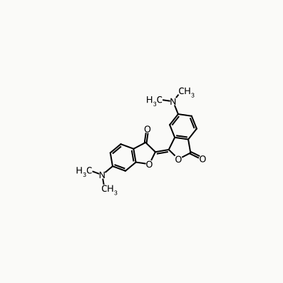 CN(C)c1ccc2c(c1)OC(=C1OC(=O)c3ccc(N(C)C)cc31)C2=O